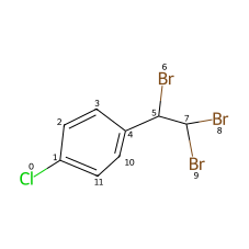 Clc1ccc(C(Br)C(Br)Br)cc1